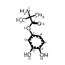 CC(C)(N)C(=O)Oc1ccc(O)c(O)c1